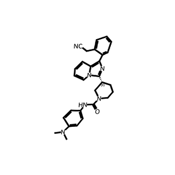 CN(C)c1ccc(NC(=O)N2CCC[C@@H](c3nc(-c4ccccc4CC#N)c4ccccn34)C2)cc1